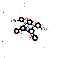 CC(C)(C)c1ccc2c(c1)B1c3c(cc4c5c3-n3c6c1cc1c7ccccc7oc1c6c1c6oc7ccccc7c6cc(c13)B5c1cc(C(C)(C)C)ccc1O4)O2